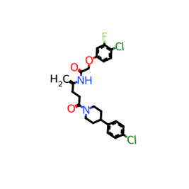 C=C(CCC(=O)N1CCC(c2ccc(Cl)cc2)CC1)NC(=O)COc1ccc(Cl)c(F)c1